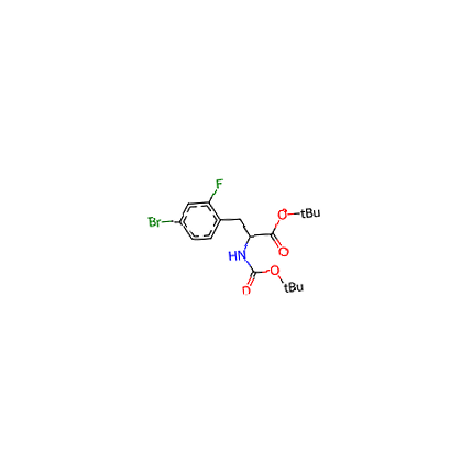 CC(C)(C)OC(=O)NC(Cc1ccc(Br)cc1F)C(=O)OC(C)(C)C